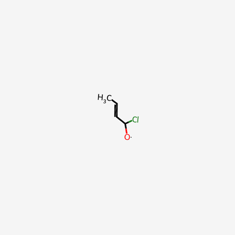 C/C=C/C([O])Cl